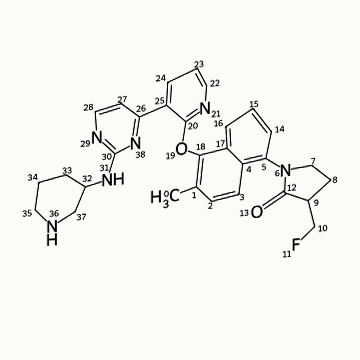 Cc1ccc2c(N3CCC(CF)C3=O)cccc2c1Oc1ncccc1-c1ccnc(NC2CCCNC2)n1